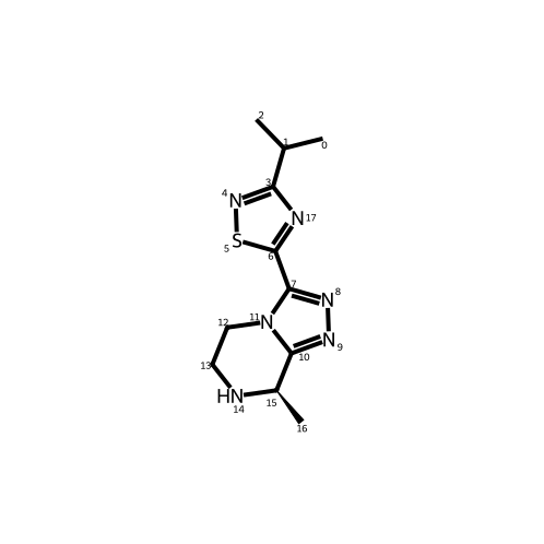 CC(C)c1nsc(-c2nnc3n2CCN[C@@H]3C)n1